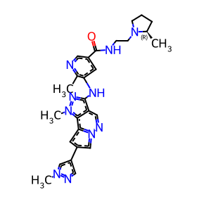 Cc1ncc(C(=O)NCCN2CCC[C@H]2C)cc1Nc1nn(C)c2c1cnn1cc(-c3cnn(C)c3)cc21